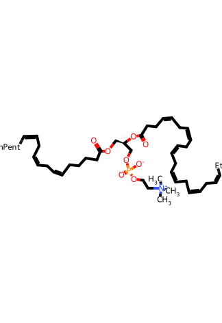 CC/C=C\C/C=C\C/C=C\C/C=C\C/C=C\C/C=C\CCC(=O)O[C@H](COC(=O)CCCC/C=C\C/C=C\C/C=C\CCCCC)COP(=O)([O-])OCC[N+](C)(C)C